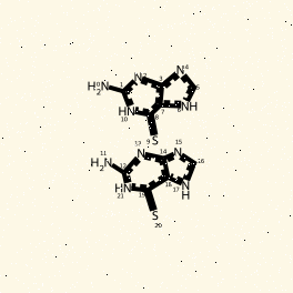 Nc1nc2nc[nH]c2c(=S)[nH]1.Nc1nc2nc[nH]c2c(=S)[nH]1